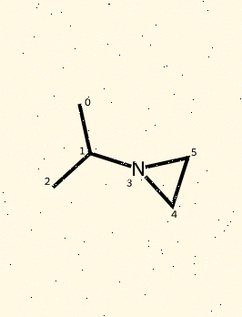 CC(C)N1CC1